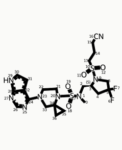 CN(C[C@@H]1CC(F)(F)CN1S(=O)(=O)CCCC#N)S(=O)(=O)N1CCN(c2ncnc3[nH]ccc23)CC12CC2